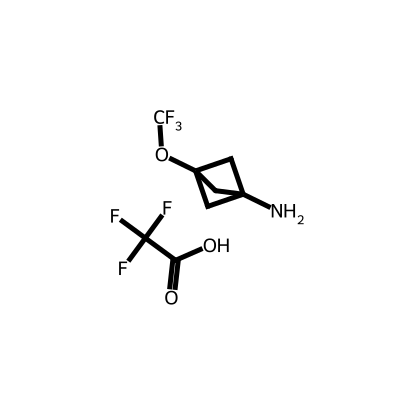 NC12CC(OC(F)(F)F)(C1)C2.O=C(O)C(F)(F)F